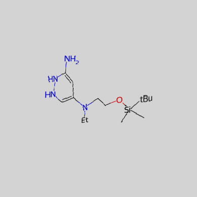 CCN(CCO[Si](C)(C)C(C)(C)C)C1=CNNC(N)=C1